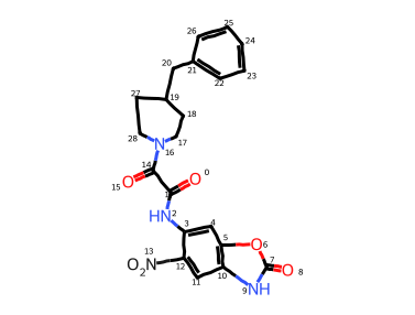 O=C(Nc1cc2oc(=O)[nH]c2cc1[N+](=O)[O-])C(=O)N1CCC(Cc2ccccc2)CC1